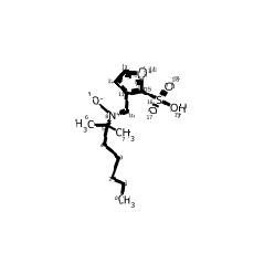 CCCCCC(C)(C)[N+]([O-])=Cc1ccoc1S(=O)(=O)O